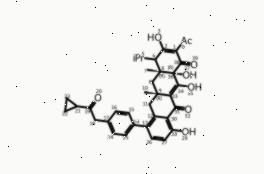 CC(=O)C1=C(O)C(C(C)C)[C@@]2(C)C[C@@]3(C)Cc4c(-c5ccc(CC(=O)C6CC6)cc5)ccc(O)c4C(=O)C3=C(O)[C@@]2(O)C1=O